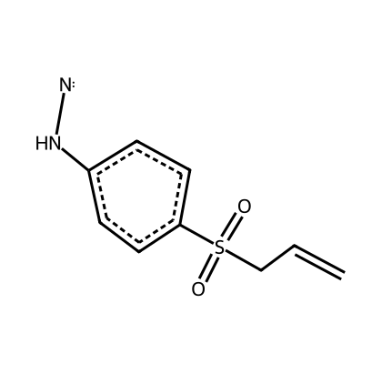 C=CCS(=O)(=O)c1ccc(N[N])cc1